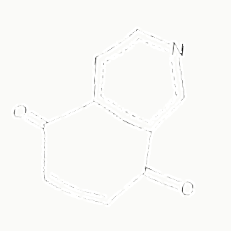 O=C1C=CC(=O)c2cnccc21